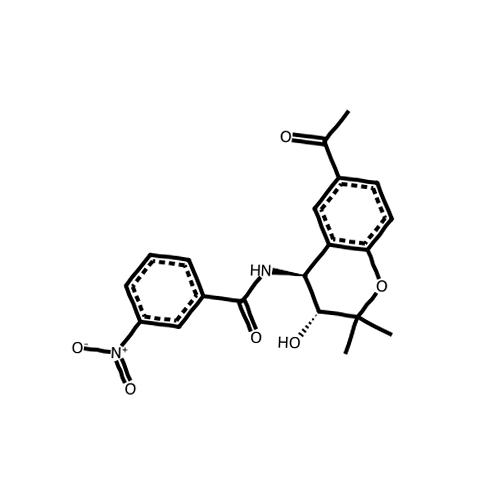 CC(=O)c1ccc2c(c1)[C@H](NC(=O)c1cccc([N+](=O)[O-])c1)[C@@H](O)C(C)(C)O2